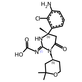 CC1(C)C[C@@H](N2C(=O)C[C@@](C)(c3cccc(N)c3Cl)N/C2=N\C(=O)O)CCO1